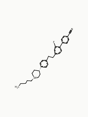 CCCCC[Si@H]1CC[C@H](c2ccc(CCc3ccc(-c4ccc(C#N)cc4)c(F)c3)cc2)CC1